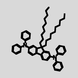 CCCCCCCCCCC1(CCCCCCCCCC)c2cc(N(c3ccccc3)c3ccccc3)ccc2-c2ccc(N(c3ccccc3)c3ccccc3)cc21